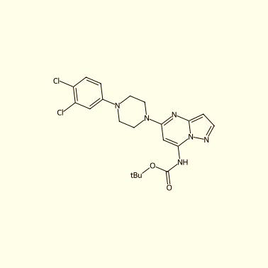 CC(C)(C)OC(=O)Nc1cc(N2CCN(c3ccc(Cl)c(Cl)c3)CC2)nc2ccnn12